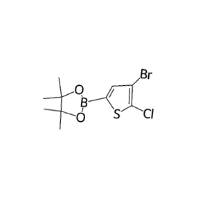 CC1(C)OB(c2cc(Br)c(Cl)s2)OC1(C)C